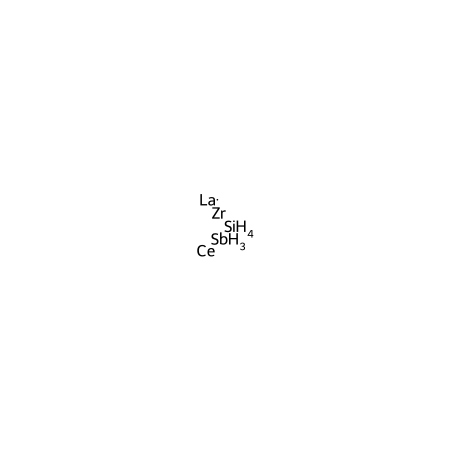 [Ce].[La].[SbH3].[SiH4].[Zr]